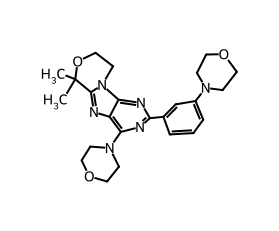 CC1(C)OCCn2c1nc1c(N3CCOCC3)nc(-c3cccc(N4CCOCC4)c3)nc12